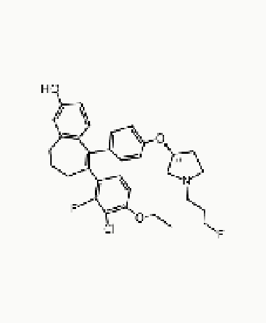 CCOc1ccc(C2=C(c3ccc(O[C@H]4CCN(CCCF)C4)cc3)c3ccc(O)cc3CCC2)c(F)c1Cl